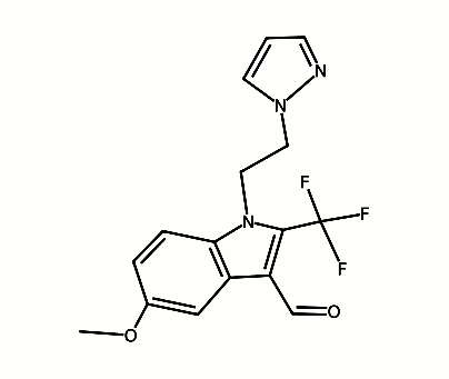 COc1ccc2c(c1)c(C=O)c(C(F)(F)F)n2CCn1cccn1